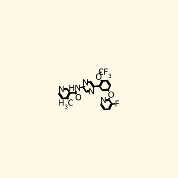 Cc1ccncc1C(=O)Nc1cnc(-c2cc(Oc3ncccc3F)ccc2OC(F)(F)F)cn1